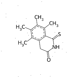 Cc1c(C)c(C)c2c(c1C)CC(=O)NC2=S